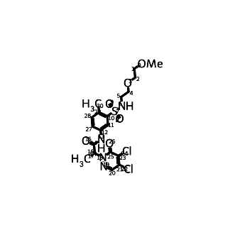 COCCOCCNS(=O)(=O)c1cc(NC(=O)[C@H](C)n2ncc(Cl)c(Cl)c2=O)ccc1C